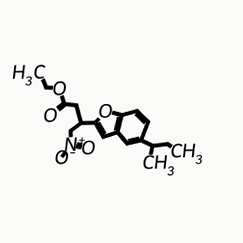 CCOC(=O)CC(C[N+](=O)[O-])c1cc2cc(C(C)CC)ccc2o1